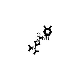 Cc1ccc(NC(=O)N2CC(N(C(C)C)C(C)C)C2)cc1C